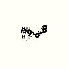 COc1cc(-c2nnn[nH]2)ccc1CCc1cccc(OCc2ccc3ccccc3n2)c1